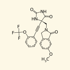 COc1ccc2c(c1)C(=O)N(C[C@@]1(C#Cc3ccccc3OC(F)(F)F)NC(=O)NC1=O)C2